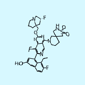 CCc1c(F)ccc2cc(O)cc(-c3ncc4c(N5CCCC6(CNS(=O)(=O)C6)C5)nc(OC[C@@]56CCCN5C[C@H](F)C6)nc4c3F)c12